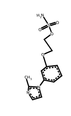 Cc1nccn1-c1cccc(OCCOS(N)(=O)=O)c1